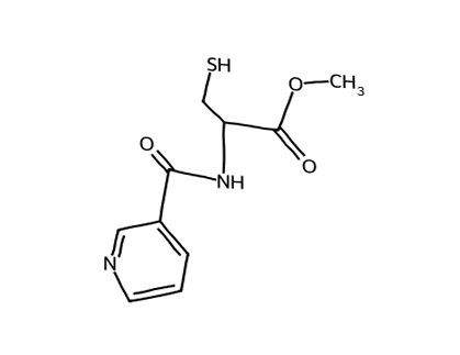 COC(=O)C(CS)NC(=O)c1cccnc1